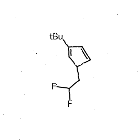 CC(C)(C)C1=CC(CC(F)F)C=C1